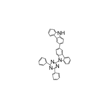 c1ccc(-c2nc(-c3ccccc3)nc(-n3c4ccccc4c4cc(-c5ccc6[nH]c7ccccc7c6c5)ccc43)n2)cc1